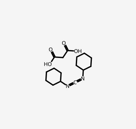 C(=NC1CCCCC1)=NC1CCCCC1.O=C(O)CC(=O)O